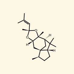 CC(C)=C[C@@]1(C)O[C@H]2C[C@@]34C[C@H](C(C)(C)[C@@H]3CC[C@H]4C)[C@@]2(C)O1